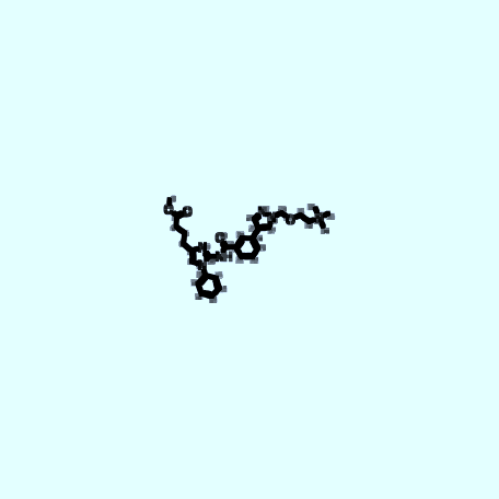 COC(=O)CCCc1cn(-c2ccccc2)c(NC(=O)c2cccc(-c3cnn(COCC[Si](C)(C)C)c3)c2)n1